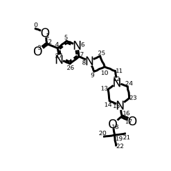 COC(=O)c1cnc(N2CC(CN3CCN(C(=O)OC(C)(C)C)CC3)C2)cn1